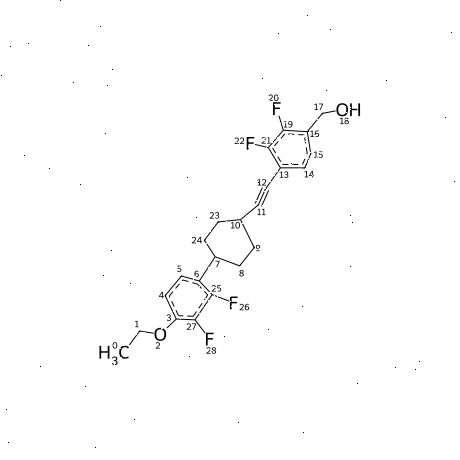 CCOc1ccc(C2CCC(C#Cc3ccc(CO)c(F)c3F)CC2)c(F)c1F